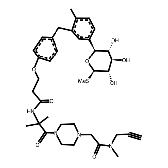 C#CCN(C)C(=O)CN1CCN(C(=O)C(C)(C)NC(=O)CCOc2ccc(Cc3cc([C@@H]4O[C@H](SC)[C@@H](O)[C@H](O)[C@H]4O)ccc3C)cc2)CC1